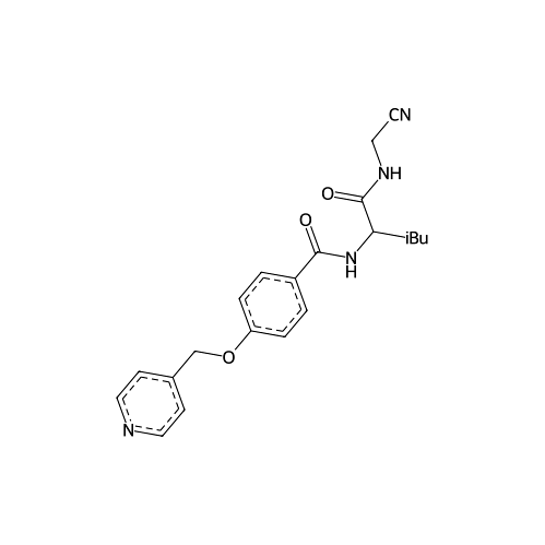 CCC(C)C(NC(=O)c1ccc(OCc2ccncc2)cc1)C(=O)NCC#N